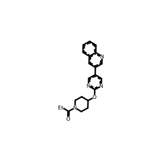 CCC(=O)N1CCC(Oc2ncc(-c3cnc4ccccc4c3)cn2)CC1